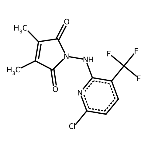 CC1=C(C)C(=O)N(Nc2nc(Cl)ccc2C(F)(F)F)C1=O